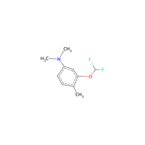 Cc1ccc(N(C)C)cc1OC(F)F